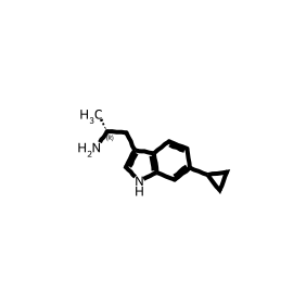 C[C@@H](N)Cc1c[nH]c2cc(C3CC3)ccc12